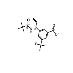 C=C[C@@H](N[S@+]([O-])C(C)(C)C)c1cc([N+](=O)[O-])cc(C(F)(F)F)c1